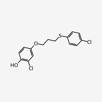 Oc1ccc(OCCCSc2ccc(Cl)cc2)cc1Cl